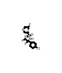 O=S(=O)(NC(F)(c1ccc(Cl)cc1)C(F)F)c1cncc(F)c1